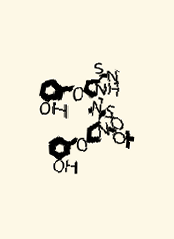 CN(C)C(=S)[C@@H]1C[C@@H](OCc2cccc(O)c2)CN1.CN(C)C(=S)[C@@H]1C[C@@H](OCc2cccc(O)c2)CN1C(=O)OC(C)(C)C